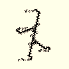 CCCCC/C=C\C/C=C\CCCCCCCC(=O)OCC(COC(=O)CCC(=O)OCC(COC(=O)CCCCCCC/C=C\C/C=C\CCCCC)OC(=O)CCCCCCC/C=C\C/C=C\CCCCC)OC(=O)CCCCCCC/C=C\C/C=C\CCCCC